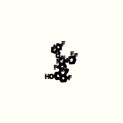 C#Cc1c(F)ccc2cc(O)cc(-c3ncc4c(N5CC=CC(F)(F)C5)nc(OC[C@@]56CCCN5C[C@H](F)C6)nc4c3F)c12